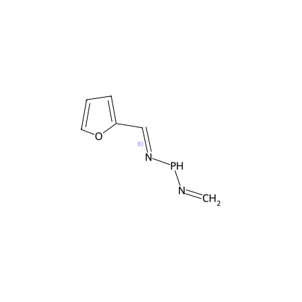 C=NP/N=C/c1ccco1